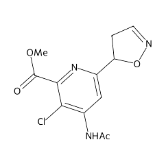 COC(=O)c1nc(C2CC=NO2)cc(NC(C)=O)c1Cl